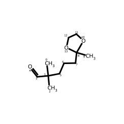 CC(C)(C=O)CCCC1(C)OCCO1